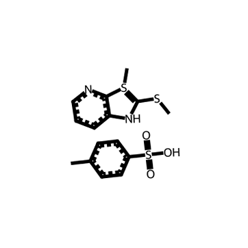 CSC1=S(C)c2ncccc2N1.Cc1ccc(S(=O)(=O)O)cc1